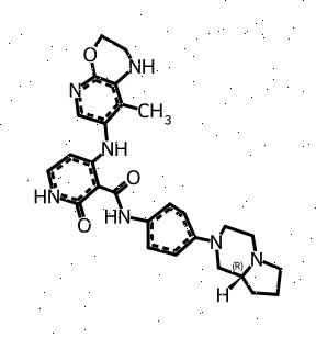 Cc1c(Nc2cc[nH]c(=O)c2C(=O)Nc2ccc(N3CCN4CCC[C@@H]4C3)cc2)cnc2c1NCCO2